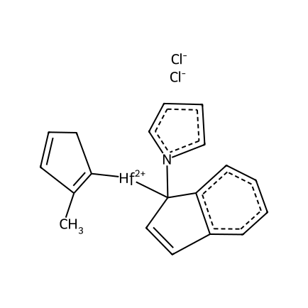 CC1=[C]([Hf+2][C]2(n3cccc3)C=Cc3ccccc32)CC=C1.[Cl-].[Cl-]